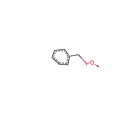 CO[I]Cc1ccccc1